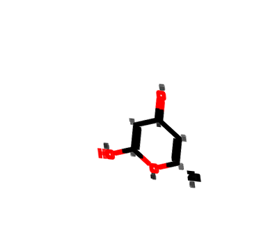 O=c1ccoc(O)c1.[Zn]